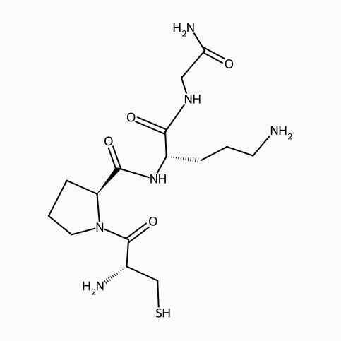 NCCC[C@H](NC(=O)[C@@H]1CCCN1C(=O)[C@@H](N)CS)C(=O)NCC(N)=O